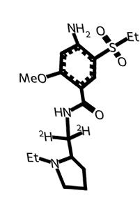 [2H]C([2H])(NC(=O)c1cc(S(=O)(=O)CC)c(N)cc1OC)C1CCCN1CC